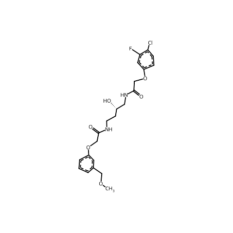 COCc1cccc(OCC(=O)NCC[C@H](O)CNC(=O)COc2ccc(Cl)c(F)c2)c1